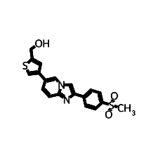 CS(=O)(=O)c1ccc(-c2cn3cc(-c4csc(CO)c4)ccc3n2)cc1